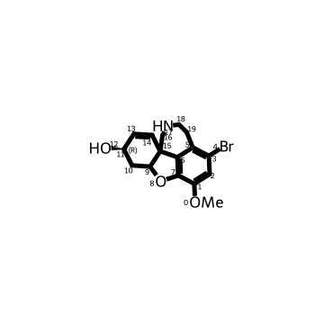 COc1cc(Br)c2c3c1OC1C[C@@H](O)C=CC31CNCC2